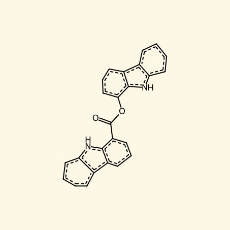 O=C(Oc1cccc2c1[nH]c1ccccc12)c1cccc2c1[nH]c1ccccc12